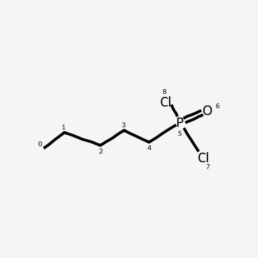 CCCCCP(=O)(Cl)Cl